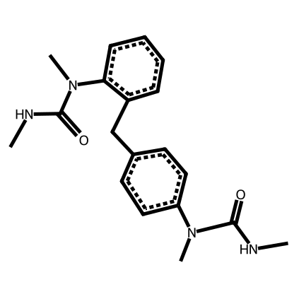 CNC(=O)N(C)c1ccc(Cc2ccccc2N(C)C(=O)NC)cc1